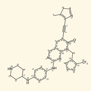 CC1=C(C#Cc2cc3cnc(Nc4ccc(NC5CCNCC5)cc4)nc3n(Cc3ccoc3C(F)(F)F)c2=O)N=CC1